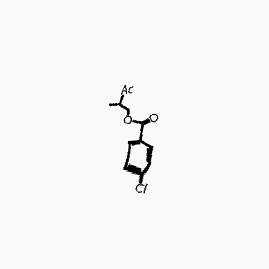 CC(=O)C(C)COC(=O)c1ccc(Cl)cc1